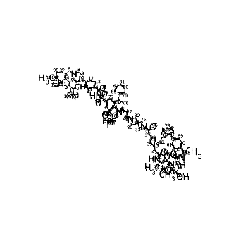 C=C(CCC1=C(CN2CCN(c3ccc(C(=O)NS(=O)(=O)c4ccc(N[C@H](CCN5CC6(C5)CN(C(=O)CCCCCC(=O)NC(C(=O)N5C[C@H](O)C[C@H]5C(=O)N[C@@H](C)c5ccc(-c7scnc7C)cc5)C(C)(C)C)C6)CSc5ccccc5)c(S(=O)(=O)C(F)(F)F)c4)cc3)CC2)CCC(C)(C)C1)C(F)F